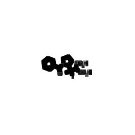 CC(I)(C(C(=O)O)C(=O)O)C1CCCN1C(=O)c1ccccc1